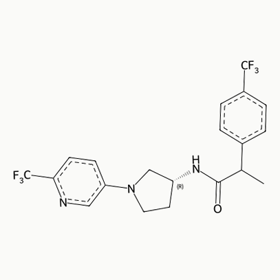 CC(C(=O)N[C@@H]1CCN(c2ccc(C(F)(F)F)nc2)C1)c1ccc(C(F)(F)F)cc1